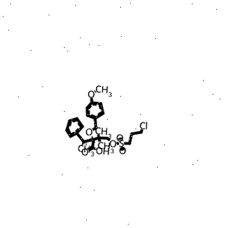 COc1ccc(CO[C@](C(=O)O)([C@H](C)c2ccccc2)C(C)(C)COS(=O)(=O)CCCCl)cc1